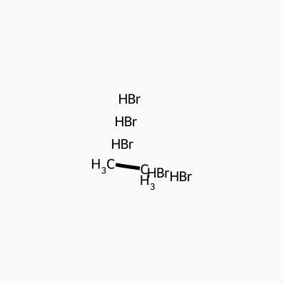 Br.Br.Br.Br.Br.CC